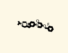 CC(C)N1CCc2cc3cc(-n4ccc(OCc5ccccc5F)cc4=O)ccc3n2CC1